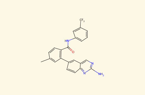 Cc1ccc(C(=O)Nc2cccc(C(F)(F)F)c2)c(-c2ccc3nc(N)ncc3c2)c1